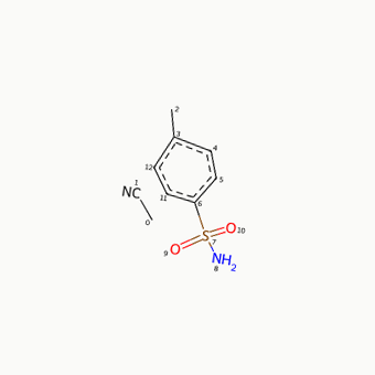 CC#N.Cc1ccc(S(N)(=O)=O)cc1